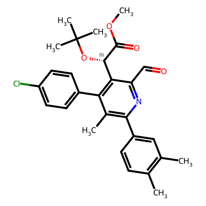 COC(=O)[C@@H](OC(C)(C)C)c1c(C=O)nc(-c2ccc(C)c(C)c2)c(C)c1-c1ccc(Cl)cc1